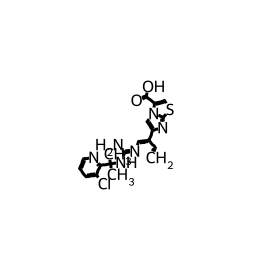 C=C/C(=C\N=C(/N)NC(C)(C)c1ncccc1Cl)c1cn2c(C(=O)O)csc2n1